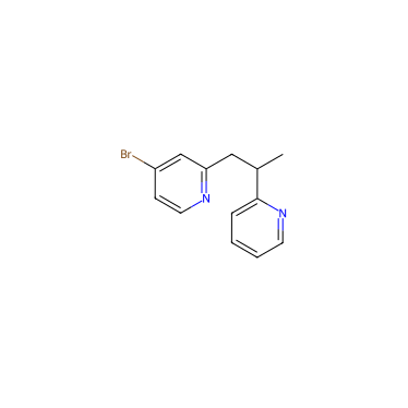 CC(Cc1cc(Br)ccn1)c1ccccn1